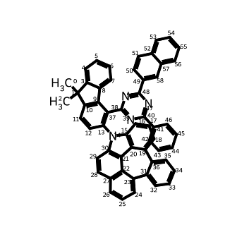 CC1(C)c2ccccc2-c2c1ccc(-n1c3cccc4c3c3c5c(cccc5ccc31)-c1ccccc1-4)c2-c1nc(-c2ccccc2)nc(-c2ccc3ccccc3c2)n1